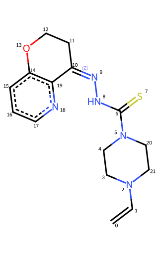 C=CN1CCN(C(=S)N/N=C2/CCOc3cccnc32)CC1